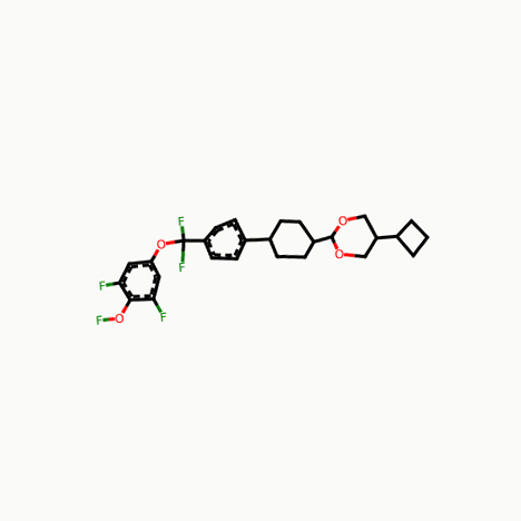 FOc1c(F)cc(OC(F)(F)c2ccc(C3CCC(C4OCC(C5CCC5)CO4)CC3)cc2)cc1F